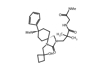 CNC(=O)CNC(=O)C(C)(C)CN1C[C@]2(CC[C@@](NC)(c3ccccc3)CC2)N(CC2(O)CCC2)C1=O